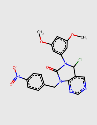 COc1cc(OC)cc(N2C(=O)N(Cc3ccc([N+](=O)[O-])cc3)c3ncncc3C2Cl)c1